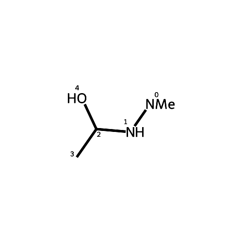 CNNC(C)O